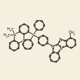 Cc1cccc2c1nc1n(-c3ccc([Si](c4ccccc4)(c4ccccc4)c4cccc5c4Sc4ccccc4[Si]5(C)C)cc3)c3ccccc3n21